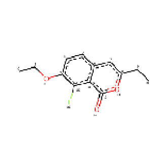 CCOc1ccc2cc(CC)oc(=O)c2c1F